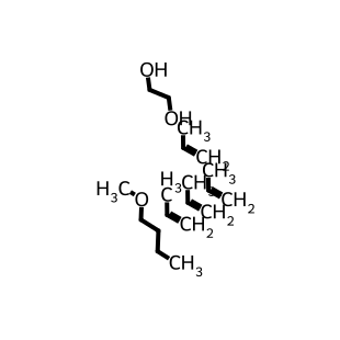 C=CC.C=CC.C=CC.C=CC.CCCCOC.OCCO